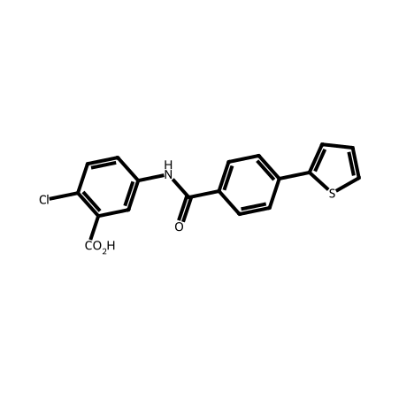 O=C(Nc1ccc(Cl)c(C(=O)O)c1)c1ccc(-c2cccs2)cc1